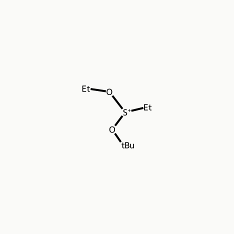 CCO[S+](CC)OC(C)(C)C